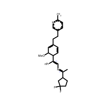 CCC/C(=C\N=C(/C)C1CCC(F)(F)C1)C1C=CC(CCc2ccc(C(F)(F)F)nc2)=CC1OC